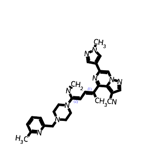 C=N/C(=C\C=C(/C)c1nc(-c2cnn(C)c2)cn2ncc(C#N)c12)N1CCN(Cc2cccc(C)n2)CC1